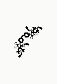 C#CCN=C1N(c2ccc(Cc3ccc(N4C(=O)NC5(CC(C)(C)N(CC#C)C(C)(C)C5)C4=NCC#C)cc3)cc2)C(=O)NC12CC(C)(C)N(CC#C)C(C)(C)C2